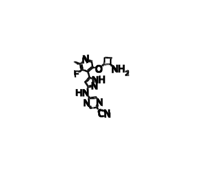 Cc1ncc(O[C@H]2CC[C@H]2N)c(-c2cc(Nc3cnc(C#N)cn3)n[nH]2)c1F